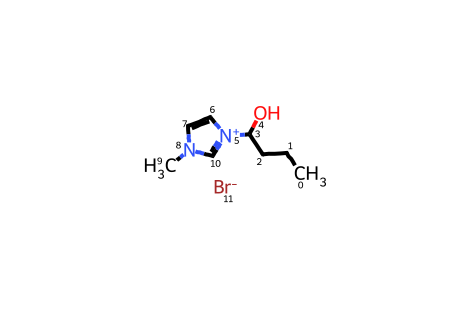 CCCC(O)[n+]1ccn(C)c1.[Br-]